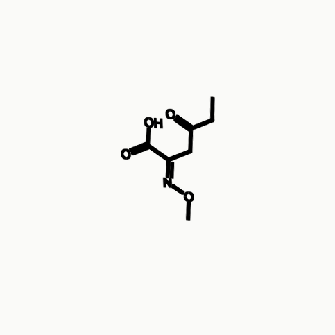 CCC(=O)C/C(=N\OC)C(=O)O